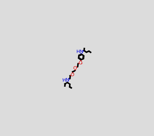 CCCC(C)Nc1ccc(OCCOCCOCCNC(CC)CCC)cc1